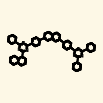 c1ccc(-c2nc(-c3ccccc3)nc(-c3ccc(-c4ccc5ccc(-c6ccc(-c7nc(-c8ccccc8)nc(-c8cccc9ccccc89)n7)cc6)cc5c4)cc3)n2)cc1